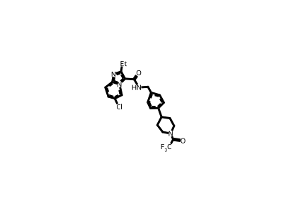 CCc1nc2ccc(Cl)cn2c1C(=O)NCc1ccc(C2CCN(C(=O)C(F)(F)F)CC2)cc1